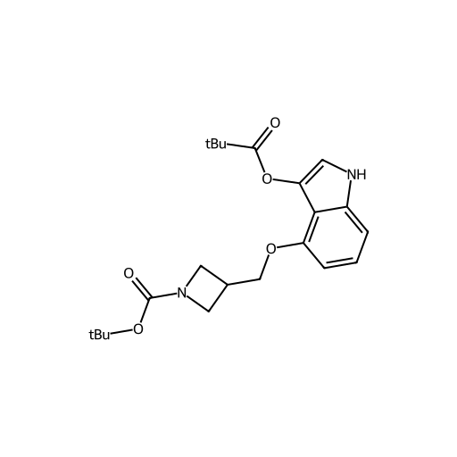 CC(C)(C)OC(=O)N1CC(COc2cccc3[nH]cc(OC(=O)C(C)(C)C)c23)C1